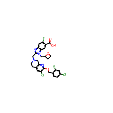 O=C(O)c1cc2c(cc1F)nc(CN1CCc3cc(Cl)c(OCc4ccc(Cl)cc4F)nc3C1)n2C[C@@H]1CCO1